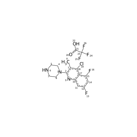 Cc1c(N2CCNCC2)nc2cc(F)cc(F)c2c1Cl.O=C(O)C(F)(F)F